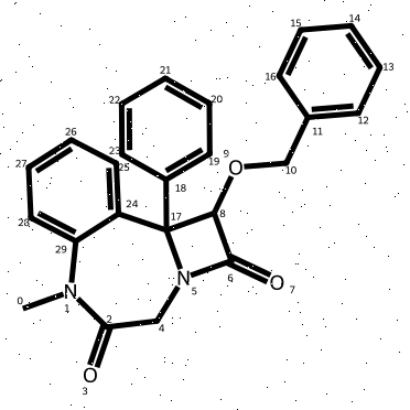 CN1C(=O)CN2C(=O)C(OCc3ccccc3)C2(c2ccccc2)c2ccccc21